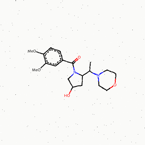 [CH2]C(C1CC(O)CN1C(=O)c1ccc(OC)c(OC)c1)N1CCOCC1